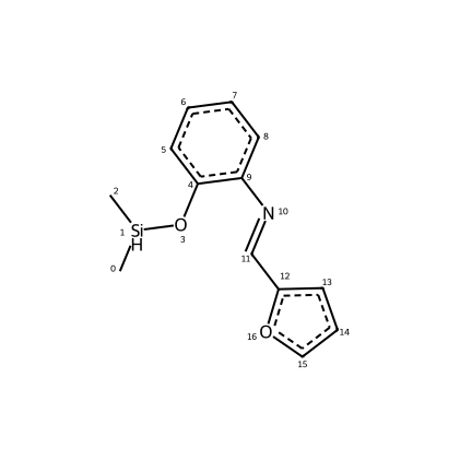 C[SiH](C)Oc1ccccc1N=Cc1ccco1